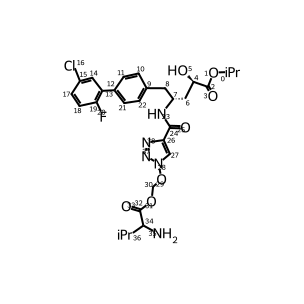 CC(C)OC(=O)[C@H](O)C[C@@H](Cc1ccc(-c2cc(Cl)ccc2F)cc1)NC(=O)c1cn(OCOC(=O)C(N)C(C)C)nn1